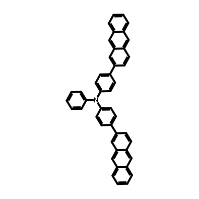 c1ccc(N(c2ccc(-c3ccc4cc5ccccc5cc4c3)cc2)c2ccc(-c3ccc4cc5ccccc5cc4c3)cc2)cc1